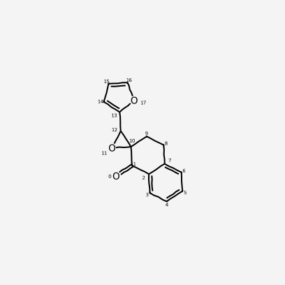 O=C1c2ccccc2CCC12OC2c1ccco1